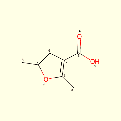 CC1=C(C(=O)O)CC(C)O1